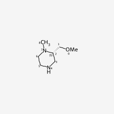 COC[C@@H]1CNCCN1C